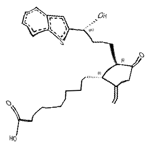 C=C1CC(=O)[C@H](CC[C@@H](O)c2cc3ccccc3s2)[C@H]1CCCCCCC(=O)O